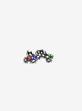 CC1(C)c2cc(N(c3ccccc3)c3cccc4c3oc3ccccc34)ccc2-c2cc3c4ccccc4c(Br)cc3c3cccc1c23